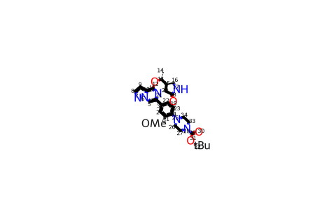 COc1cc(-c2cn3nccc3c(O[C@H](C)[C@H]3CNC(=O)C3)n2)ccc1N1CCN(C(=O)OC(C)(C)C)CC1